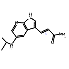 CC(C)Nc1cnc2[nH]cc(/C=C/C(N)=O)c2c1